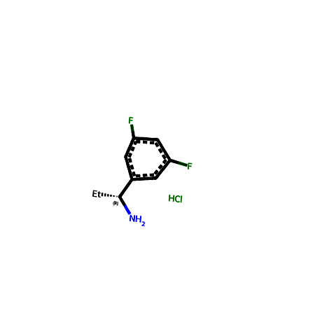 CC[C@@H](N)c1cc(F)cc(F)c1.Cl